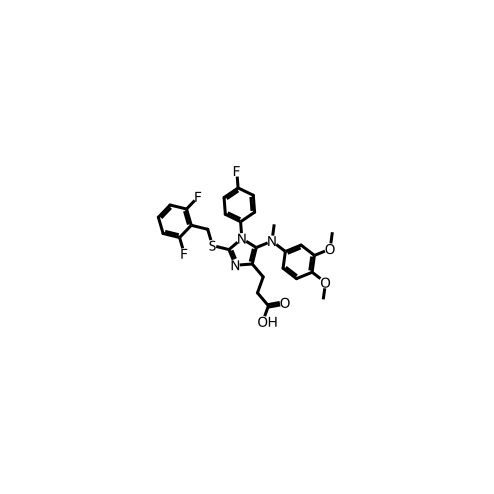 COc1ccc(N(C)c2c(CCC(=O)O)nc(SCc3c(F)cccc3F)n2-c2ccc(F)cc2)cc1OC